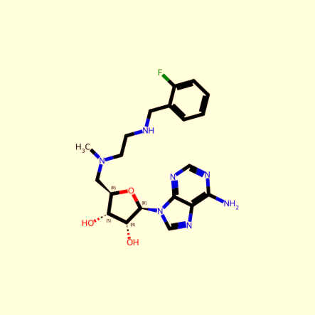 CN(CCNCc1ccccc1F)C[C@H]1O[C@@H](n2cnc3c(N)ncnc32)[C@H](O)[C@@H]1O